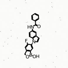 O=C(Nc1ccc2c(ccn2-c2cc3c(cc2F)COB3O)c1)c1ccccc1